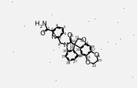 NC(=O)c1cccc(CN2C(=O)C3(COc4cc5c(cc43)OCCO5)c3ccccc32)n1